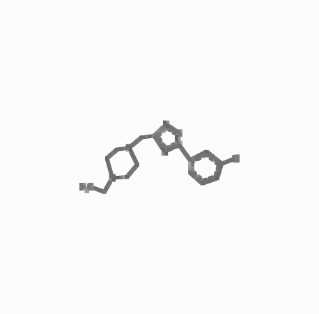 CCN1CCN(Cc2nnn(-c3cccc(Cl)c3)n2)CC1